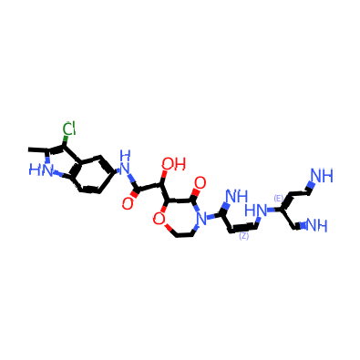 Cc1[nH]c2ccc(NC(=O)C(O)C3OCCN(C(=N)/C=C\N/C(C=N)=C/C=N)C3=O)cc2c1Cl